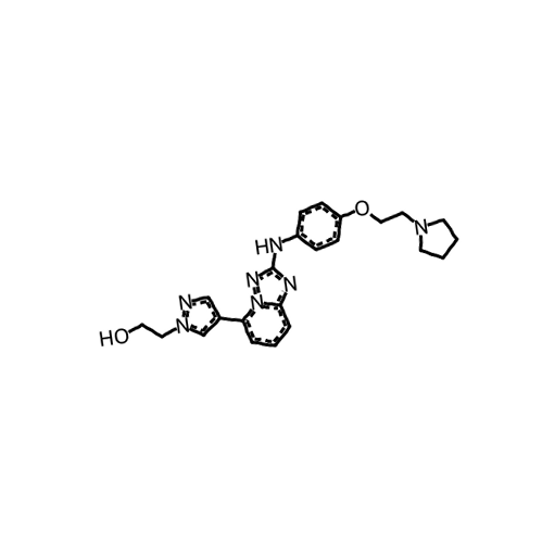 OCCn1cc(-c2cccc3nc(Nc4ccc(OCCN5CCCC5)cc4)nn23)cn1